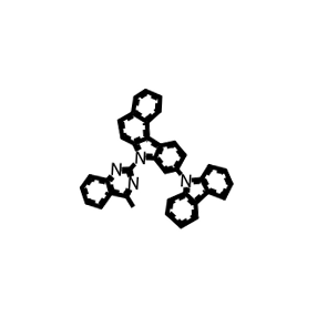 Cc1nc(-n2c3cc(-n4c5ccccc5c5ccccc54)ccc3c3c4ccccc4ccc32)nc2ccccc12